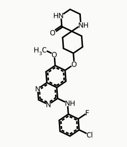 COc1cc2ncnc(Nc3cccc(Cl)c3F)c2cc1OC1CCC2(CC1)NCCNC2=O